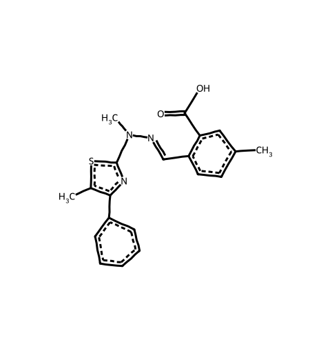 Cc1ccc(C=NN(C)c2nc(-c3ccccc3)c(C)s2)c(C(=O)O)c1